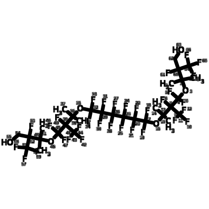 CC(C)(OC(F)(F)C(F)(C(F)(F)F)C(C)(C)OC(F)(F)C(F)(F)C(F)(F)C(F)(F)C(F)(F)C(F)(F)OC(C)(C)C(F)(C(F)(F)F)C(F)(F)OC(C)(C)C(F)(CO)C(F)(F)F)C(F)(CO)C(F)(F)F